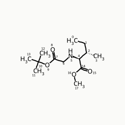 CC[C@H](C)[C@H](NCC(=O)OC(C)(C)C)C(=O)OC